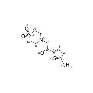 Cc1ccc(C(=O)CN2CCS(=O)(=O)CC2)s1